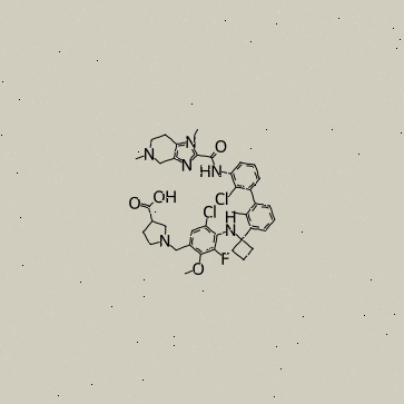 COc1c(CN2CCC(C(=O)O)C2)cc(Cl)c(NC2(c3cccc(-c4cccc(NC(=O)c5nc6c(n5C)CCN(C)C6)c4Cl)c3C)CCC2)c1F